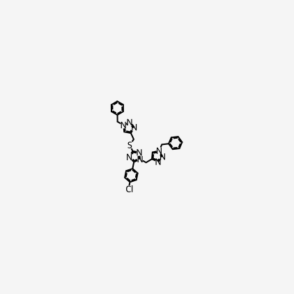 Clc1ccc(-c2nc(SCc3cn(Cc4ccccc4)nn3)nn2Cc2cn(Cc3ccccc3)nn2)cc1